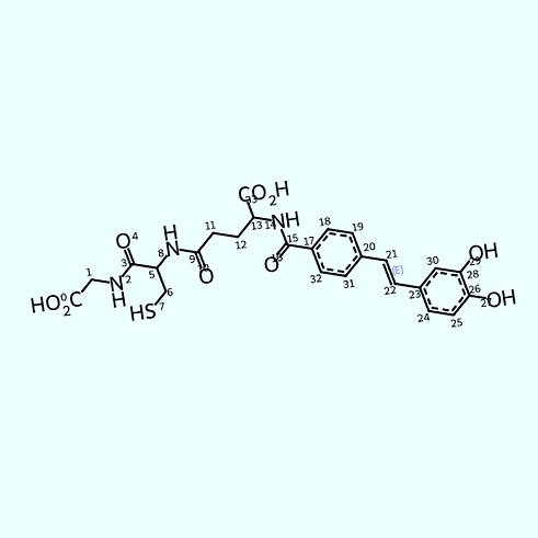 O=C(O)CNC(=O)C(CS)NC(=O)CCC(NC(=O)c1ccc(/C=C/c2ccc(O)c(O)c2)cc1)C(=O)O